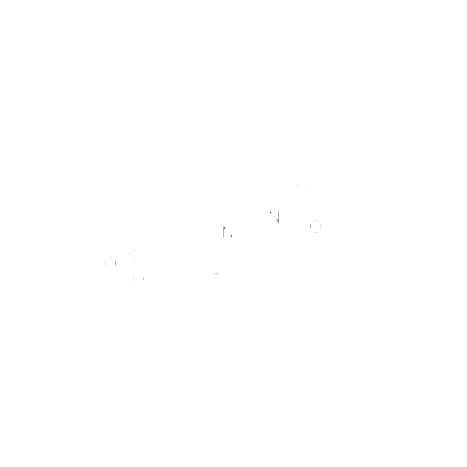 CC(C)(C)OC(=O)N1CCN(c2cc3c(cc2F)S(=O)(=O)CC3)CC1